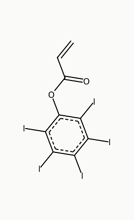 C=CC(=O)Oc1c(I)c(I)c(I)c(I)c1I